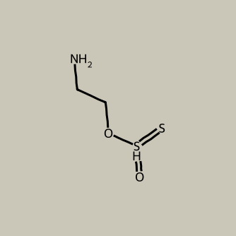 NCCO[SH](=O)=S